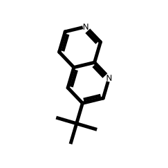 CC(C)(C)c1cnc2cnccc2c1